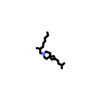 CCCCCCC(C)CN1CCC2(CC1)CC(CCC(C)C)C2